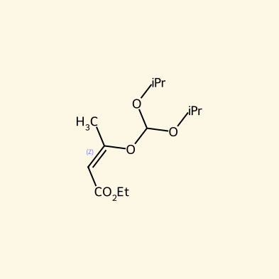 CCOC(=O)/C=C(/C)OC(OC(C)C)OC(C)C